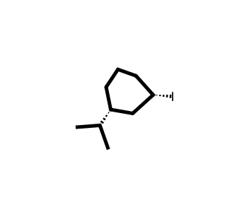 CC(C)[C@@H]1CCC[C@H](I)C1